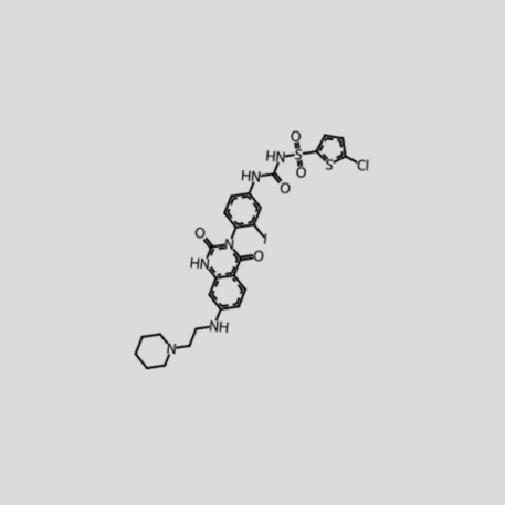 O=C(Nc1ccc(-n2c(=O)[nH]c3cc(NCCN4CCCCC4)ccc3c2=O)c(I)c1)NS(=O)(=O)c1ccc(Cl)s1